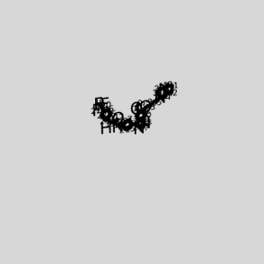 COc1cc2c(-c3ccc(NC(=O)Cc4ccc(C(F)(F)F)cc4)cc3)ncnc2cc1OCCCN1CCN2CCCC2C1